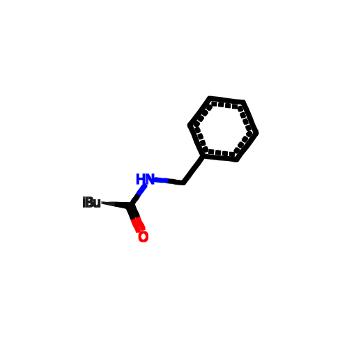 CC[C@H](C)C(=O)NCc1ccccc1